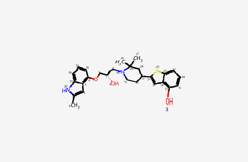 Cc1cc2c(OC[C@@H](O)CN3CCC(c4cc5c(O)cccc5s4)CC3(C)C)cccc2[nH]1